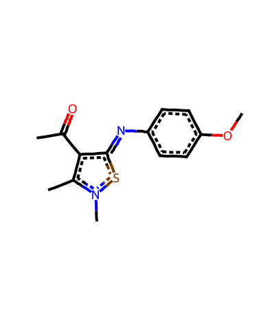 COc1ccc(N=c2sn(C)c(C)c2C(C)=O)cc1